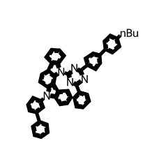 CCCCc1ccc(-c2ccc(-c3nc(-c4ccccc4)nc(-n4c5ccccc5c5ccc6c(c7ccccc7n6-c6cccc(-c7ccccc7)c6)c54)n3)cc2)cc1